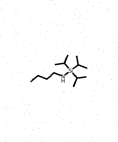 CCCCN[Si](C(C)C)(C(C)C)C(C)C